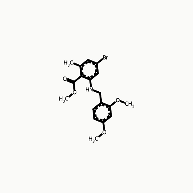 COC(=O)c1c(C)cc(Br)cc1NCc1ccc(OC)cc1OC